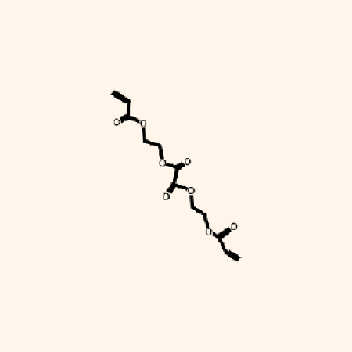 C=CC(=O)OCCOC(=O)C(=O)OCCOC(=O)C=C